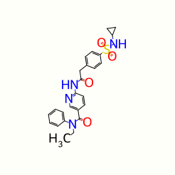 CCN(C(=O)c1ccc(NC(=O)Cc2ccc(S(=O)(=O)NC3CC3)cc2)nc1)c1ccccc1